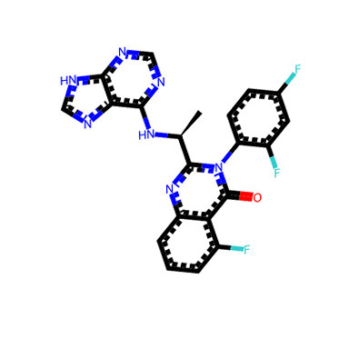 C[C@H](Nc1ncnc2[nH]cnc12)c1nc2cccc(F)c2c(=O)n1-c1ccc(F)cc1F